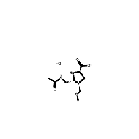 COC[C@@H]1C[C@H](C(=O)O)N[C@H]1CNC(C)=O.Cl